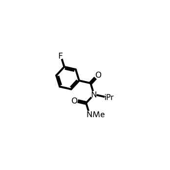 CNC(=O)N(C(=O)c1cccc(F)c1)C(C)C